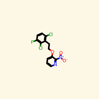 O=[N+]([O-])c1ncccc1OCCc1c(Cl)ccc(F)c1Cl